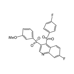 COc1cccc(S(=O)(=O)c2cnc3cc(F)ccc3c2S(=O)(=O)c2ccc(F)cc2)c1